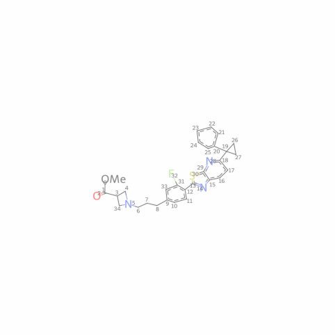 COC(=O)C1CN(CCCc2ccc(-c3nc4ccc(C5(c6ccccc6)CC5)nc4s3)c(F)c2)C1